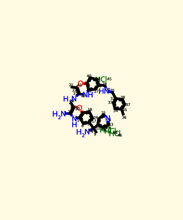 CC1=C(N)Nc2cc(C(C)(N)c3ccncc3)ccc2O1.CC1=C(N)Nc2cc(CNCc3ccc(C)cc3)ccc2O1.Cl.Cl.Cl.Cl